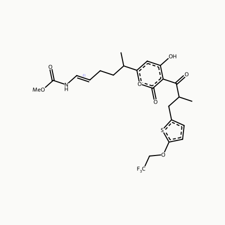 COC(=O)N/C=C/CCC(C)c1cc(O)c(C(=O)C(C)Cc2ccc(OCC(F)(F)F)s2)c(=O)o1